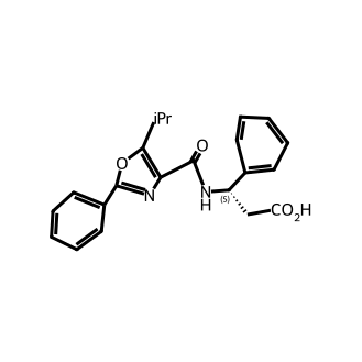 CC(C)c1oc(-c2ccccc2)nc1C(=O)N[C@@H](CC(=O)O)c1ccccc1